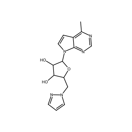 Cc1ncnc2c1ccn2C1OC(Cn2cccn2)C(O)C1O